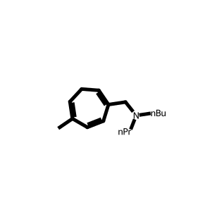 CCCCN(CCC)CC1=CCC=C(C)C=C1